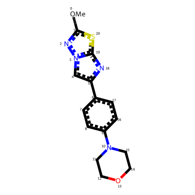 COc1nn2cc(-c3ccc(N4CCOCC4)cc3)nc2s1